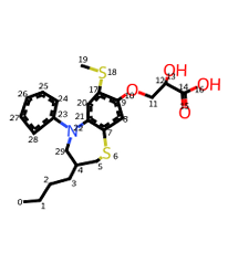 CCCCC1CSc2cc(OCC(O)C(=O)O)c(SC)cc2N(c2ccccc2)C1